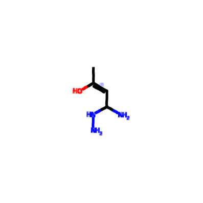 C/C(O)=C/C(N)NN